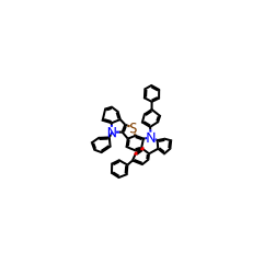 c1ccc(-c2ccc(-c3ccccc3N(c3ccc(-c4ccccc4)cc3)c3cccc4c3sc3c5ccccc5n(-c5ccccc5)c43)cc2)cc1